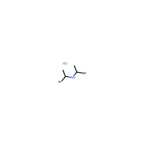 CC(C)C(C)NC(C)C(C)C.Cl